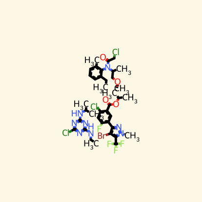 CC(C)OC(=O)c1cc(-c2nn(C)c(C(F)(F)F)c2Br)c(F)cc1Cl.CCNc1nc(Cl)nc(NC(C)C)n1.CCc1cccc(C)c1N(C(=O)CCl)C(C)COC